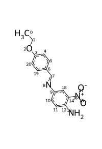 CCOc1ccc(/C=N/c2ccc(N)c([N+](=O)[O-])c2)cc1